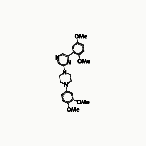 COc1ccc(OC)c(-c2cncc(N3CCN(c4ccc(OC)c(OC)c4)CC3)n2)c1